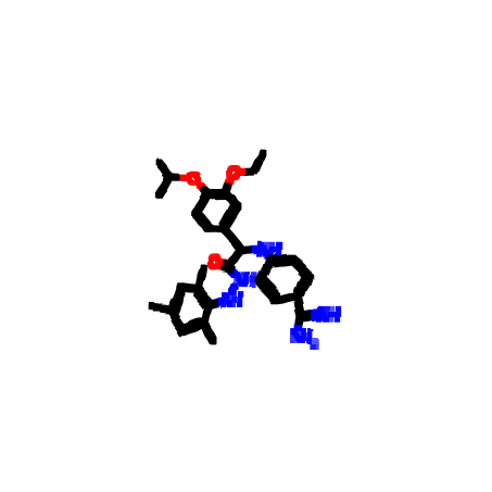 CCOc1cc(C(Nc2ccc(C(=N)N)cc2)C(=O)NNc2c(C)cc(C)cc2C)ccc1OC(C)C